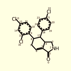 O=C1NCC2C1=CCC(c1ccc(Cl)cc1Cl)C2c1ccc(Cl)cc1